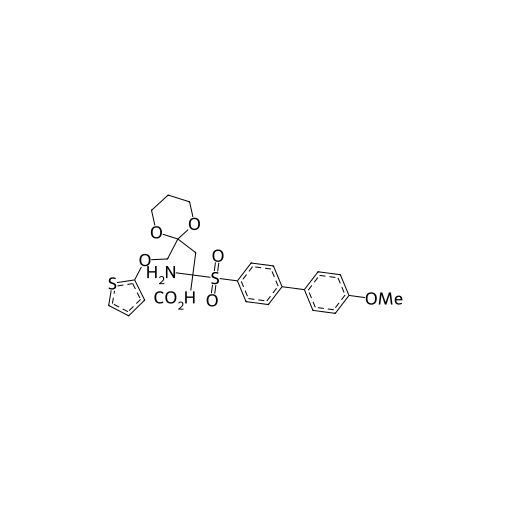 COc1ccc(-c2ccc(S(=O)(=O)C(N)(CC3(COc4cccs4)OCCCO3)C(=O)O)cc2)cc1